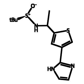 CC(N[S@+]([O-])C(C)(C)C)c1cc(-c2ncc[nH]2)cs1